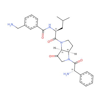 CC(C)C[C@H](NC(=O)c1cccc(CN)c1)C(=O)N1CC[C@@H]2[C@H]1C(=O)CN2C(=O)[C@@H](N)c1ccccc1